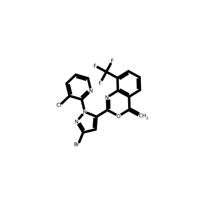 C=C1OC(c2cc(Br)nn2-c2ncccc2Cl)=Nc2c1cccc2C(F)(F)F